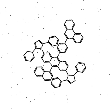 C1=CCC(c2ccc(-c3ccccc3)n2-c2ccc3c(-c4cccc5ccccc45)c4cc(N5C(c6ccccc6)=CCC5c5ccccc5)ccc4c(-c4ccc(-c5cc6ccccc6c6ccccc56)cc4)c3c2)C=C1